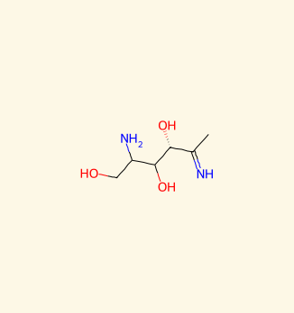 CC(=N)[C@@H](O)C(O)C(N)CO